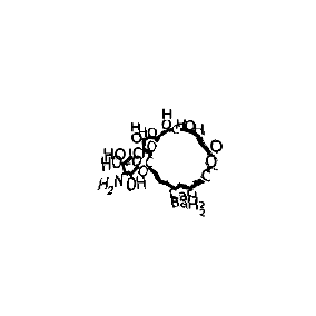 C[C@@H]1C/C=C/C=C/C=C/C=C/[C@H](O[C@@H]2O[C@H](C)[C@@H](O)[C@H](N)[C@@H]2O)C[C@@H]2O[C@](O)(C[C@@H](O)C[C@H]3O[C@@H]3/C=C/C(=O)O1)C[C@H](O)[C@H]2C(=O)O.[BaH2].[CaH2]